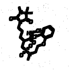 CN1C(=O)N(CCCC(CS(=O)(=O)N(C)CCOc2ccccc2Cl)C(=O)NO)C(=O)C1(C)C